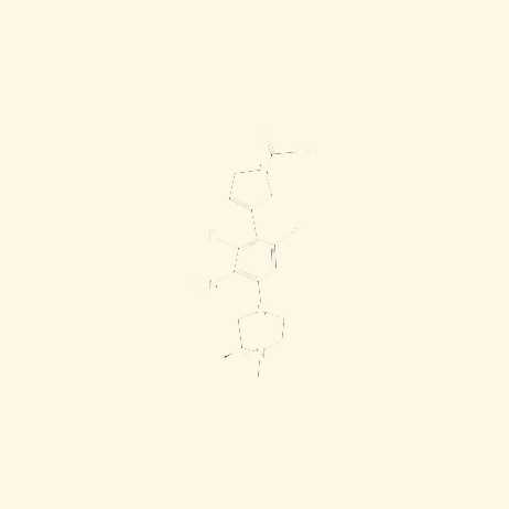 C[C@H]1CN(c2cc(F)c(C3=CCN(C(=O)O)C3)c(F)c2N)CCN1C